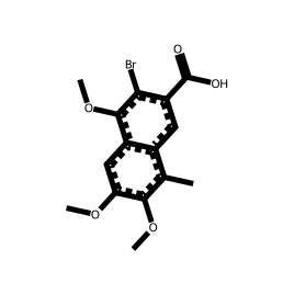 COc1cc2c(OC)c(Br)c(C(=O)O)cc2c(C)c1OC